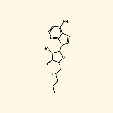 CCCNC[C@H]1OC(n2cnc3c(N)ccnc32)[C@H](O)[C@@H]1O